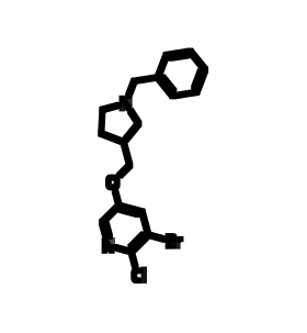 Clc1ncc(OCC2CCN(Cc3ccccc3)C2)cc1Br